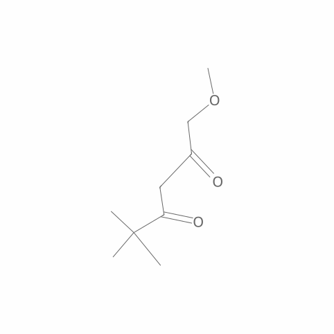 COCC(=O)CC(=O)C(C)(C)C